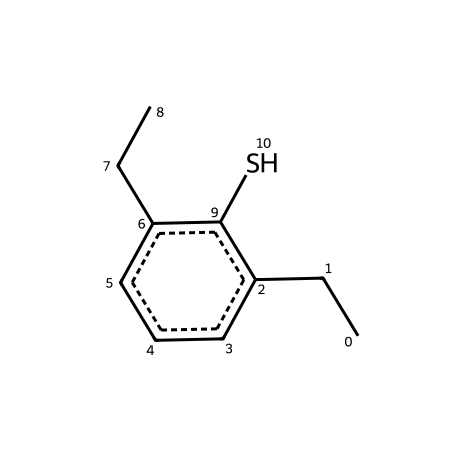 CCc1cccc(CC)c1S